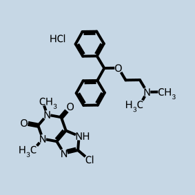 CN(C)CCOC(c1ccccc1)c1ccccc1.Cl.Cn1c(=O)c2[nH]c(Cl)nc2n(C)c1=O